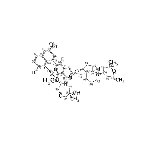 C#Cc1c(F)ccc2cc(O)cc(-c3nc(OC)c4c(N5CCOC[C@@](C)(O)C5)nc(OC[C@]56CCC[C@H]5N(C5C[C@@H](C)O[C@H](C)C5)CCC6)nc4c3F)c12